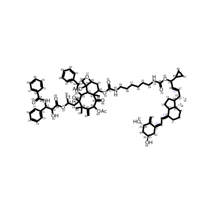 C=C1/C(=C\C=C2/CCC[C@@]3(C)C2CCC3[C@@H](C)/C=C/C(OC(=O)NCCCCCCNC(=O)OC2CC3OCC3(OC(C)=O)C3C(OC(=O)c4ccccc4)C(O)(CC(CC)OC(=O)C(O)C(NC(=O)c4ccccc4)c4ccccc4)C(C)(C)C(=C)C(OC(C)=O)C(=O)C23C)C2CC2)C[C@@H](O)C[C@@H]1O